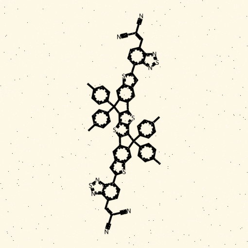 Cc1ccc(C2(c3ccc(C)cc3)c3cc4sc(-c5ccc(C=C(C#N)C#N)c6nsnc56)cc4cc3-c3sc4c5c(sc4c32)-c2cc3cc(-c4ccc(C=C(C#N)C#N)c6nsnc46)sc3cc2C5(c2ccc(C)cc2)c2ccc(C)cc2)cc1